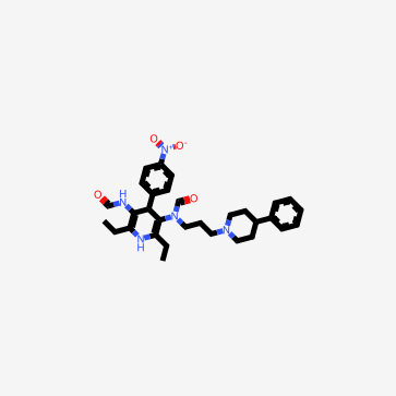 CCC1=C(NC=O)C(c2ccc([N+](=O)[O-])cc2)C(N(C=O)CCCN2CCC(c3ccccc3)CC2)=C(CC)N1